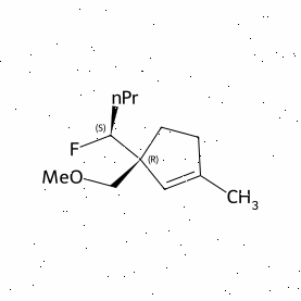 CCC[C@H](F)[C@@]1(COC)C=C(C)CC1